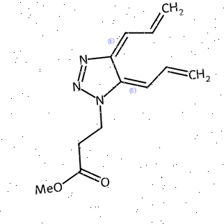 C=C/C=c1/nnn(CCC(=O)OC)/c1=C/C=C